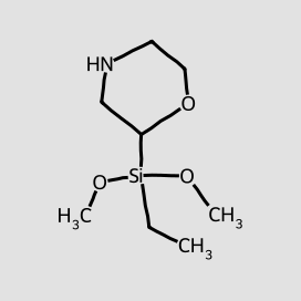 CC[Si](OC)(OC)C1CNCCO1